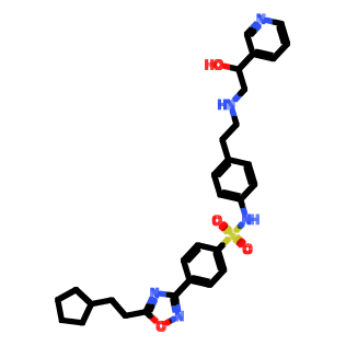 O=S(=O)(Nc1ccc(CCNCC(O)c2cccnc2)cc1)c1ccc(-c2noc(CCC3CCCC3)n2)cc1